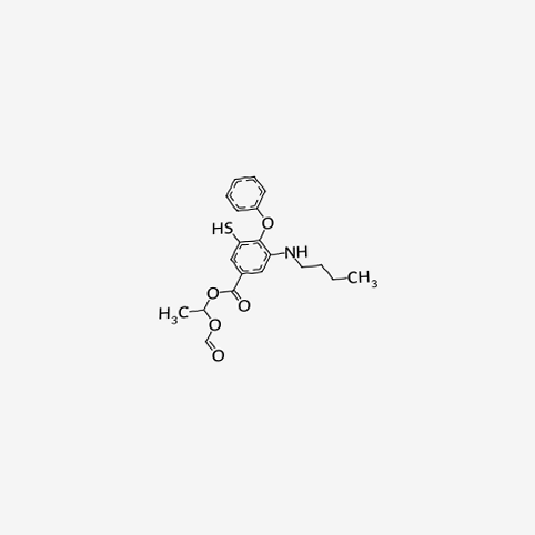 CCCCNc1cc(C(=O)OC(C)OC=O)cc(S)c1Oc1ccccc1